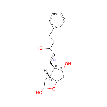 OC(/C=C/[C@H]1[C@H](O)CC2OC(O)C[C@@H]21)CCc1ccccc1